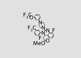 COC(=O)CC1c2cccc(F)c2N=C(N2CCN(c3cccc(OC(F)(F)F)c3)CC2)N1c1cc(C(F)(F)F)ccc1F